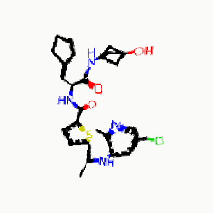 Cc1ncc(Cl)cc1N[C@@H](C)c1ccc(C(=O)N[C@@H](CC2CCCC2)C(=O)NC23CC(O)(C2)C3)s1